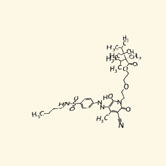 CCCCNS(=O)(=O)c1ccc(/N=N/c2c(C)c(C#N)c(=O)n(CCOCCOC(=O)[C@@](C)(C(C)C)C(C)(C)C(C)C)c2O)cc1